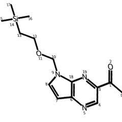 CC(=O)c1cnc2ccn(COCC[Si](C)(C)C)c2n1